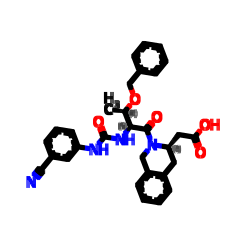 C[C@@H](OCc1ccccc1)[C@H](NC(=O)Nc1cccc(C#N)c1)C(=O)N1Cc2ccccc2C[C@@H]1CC(=O)O